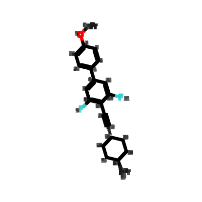 CCCOc1ccc(-c2cc(F)c(C#C[C@H]3CC[C@H](CCC)CC3)c(F)c2)cc1